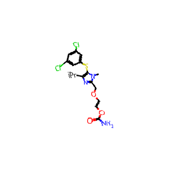 CC(C)c1nc(COCCOC(N)=O)n(C)c1Sc1cc(Cl)cc(Cl)c1